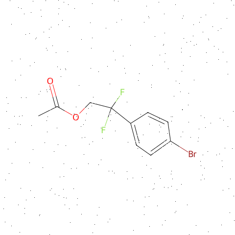 CC(=O)OCC(F)(F)c1ccc(Br)cc1